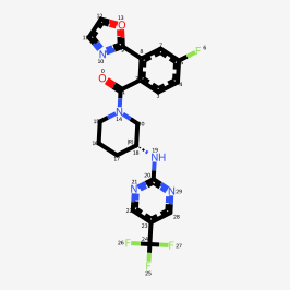 O=C(c1ccc(F)cc1-c1ncco1)N1CCC[C@@H](Nc2ncc(C(F)(F)F)cn2)C1